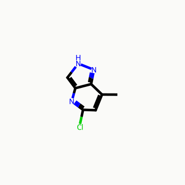 Cc1cc(Cl)nc2c[nH]nc12